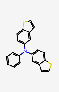 c1ccc(N(c2ccc3sccc3c2)c2ccc3sccc3c2)cc1